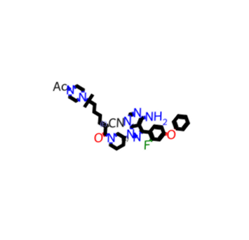 CC(=O)N1CCN(C(C)(C)CCC/C=C(\C#N)C(=O)N2CCC[C@@H](n3nc(-c4ccc(Oc5ccccc5)cc4F)c4c(N)ncnc43)C2)CC1